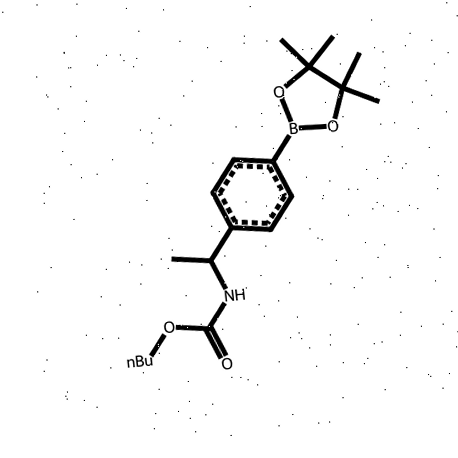 CCCCOC(=O)NC(C)c1ccc(B2OC(C)(C)C(C)(C)O2)cc1